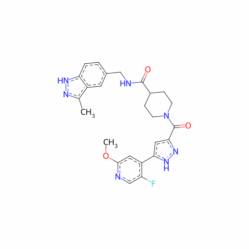 COc1cc(-c2cc(C(=O)N3CCC(C(=O)NCc4ccc5[nH]nc(C)c5c4)CC3)n[nH]2)c(F)cn1